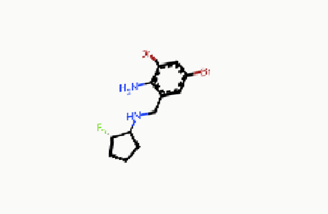 Nc1c(Br)cc(Br)cc1CN[C@H]1CCC[C@@H]1F